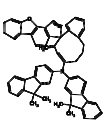 C=C1/C=C(/N(c2ccc3c(c2)C(C)(C)c2ccccc2-3)c2ccc3c(c2)C(C)(C)c2ccccc2-3)CCCc2ccccc2C12c1ccccc1-c1c2ccc2c1oc1ccccc12